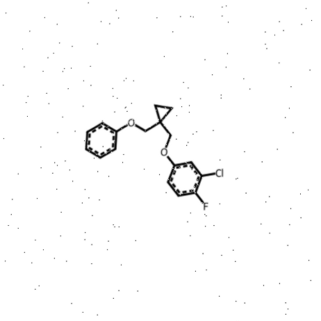 Fc1ccc(OCC2(COc3[c]cccc3)CC2)cc1Cl